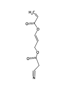 C=CC(=O)OC=CCOC(=O)CC#N